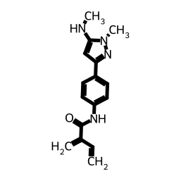 C=CC(=C)C(=O)Nc1ccc(-c2cc(NC)n(C)n2)cc1